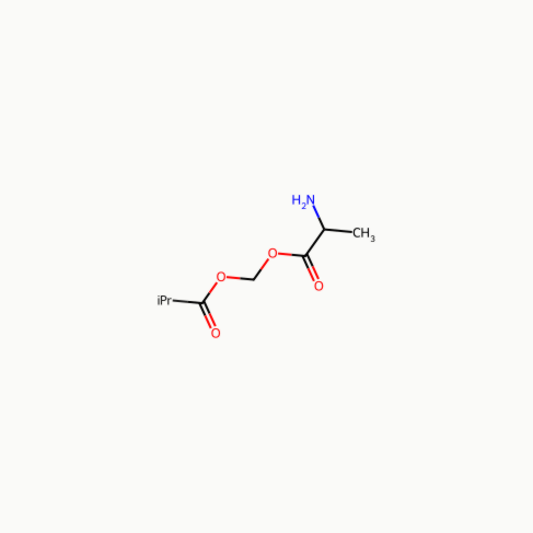 CC(C)C(=O)OCOC(=O)C(C)N